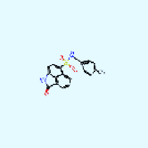 Cc1ccc(NS(=O)(=O)c2ccc3c4c(cccc24)C(=O)N3)cc1